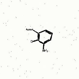 CC(=O)Nc1cccc(N)c1Cl